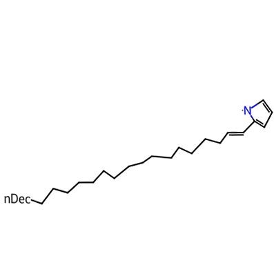 CCCCCCCCCCCCCCCCCCCCCCCCC/C=C/C1=CC=C[N]1